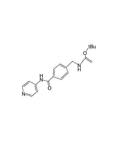 C=C(NCc1ccc(C(=O)Nc2ccncc2)cc1)OC(C)(C)C